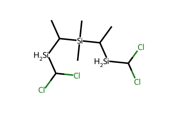 CC([SiH2]C(Cl)Cl)[Si](C)(C)C(C)[SiH2]C(Cl)Cl